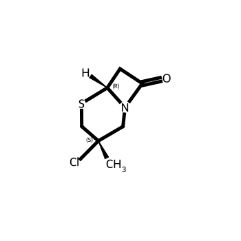 C[C@@]1(Cl)CS[C@@H]2CC(=O)N2C1